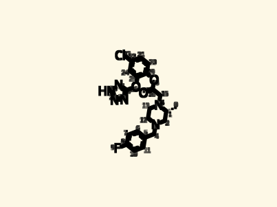 C[C@@H]1CN(Cc2ccc(F)cc2)CCN1CC(=O)Oc1ccc(Cl)cc1Oc1nn[nH]n1